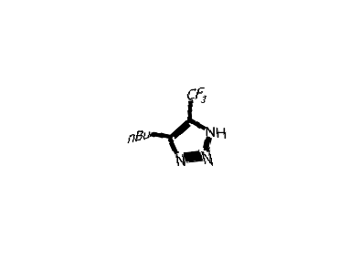 CCCCc1nn[nH]c1C(F)(F)F